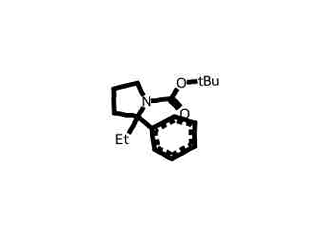 CCC1(c2ccccc2)CCCN1C(=O)OC(C)(C)C